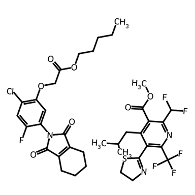 CCCCCOC(=O)COc1cc(N2C(=O)C3=C(CCCC3)C2=O)c(F)cc1Cl.COC(=O)c1c(C(F)F)nc(C(F)(F)F)c(C2=NCCS2)c1CC(C)C